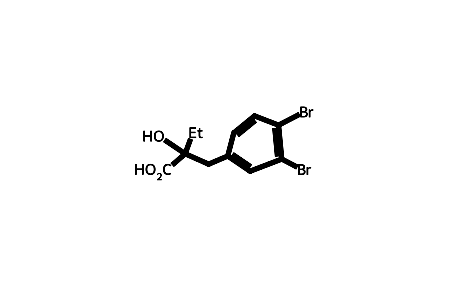 CCC(O)(Cc1ccc(Br)c(Br)c1)C(=O)O